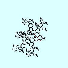 CC(COc1ccc(F)cc1-c1cc(C(C)(C)CC(C)(C)C)cc(-n2c3ccc(C(C)(C)C)cc3c3cc(C(C)(C)C)ccc32)c1O)COc1ccc(F)cc1-c1cc(C(C)(C)CC(C)(C)C)cc(-n2c3ccc(C(C)(C)C)cc3c3cc(C(C)(C)C)ccc32)c1O